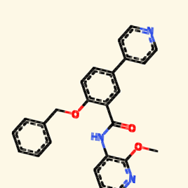 COc1ncccc1NC(=O)c1cc(-c2ccncc2)ccc1OCc1ccccc1